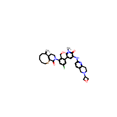 C=C1CCCCCSC2=C1CCN(c1cc(F)cc(-c3cc(Nc4ccc5c(n4)CCN(C4COC4)C5)c(=O)n(C)c3)c1CO)C2=O